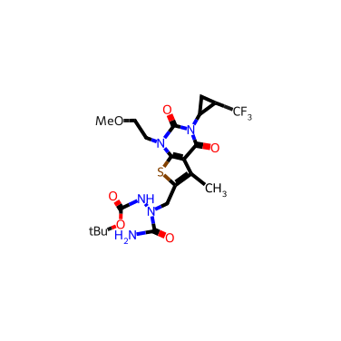 COCCn1c(=O)n(C2CC2C(F)(F)F)c(=O)c2c(C)c(CN(NC(=O)OC(C)(C)C)C(N)=O)sc21